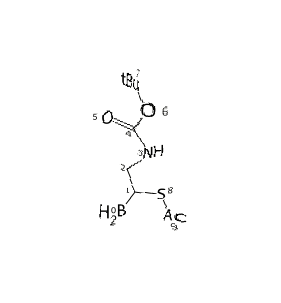 BC(CNC(=O)OC(C)(C)C)SC(C)=O